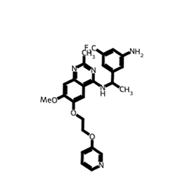 COc1cc2nc(C)nc(NC(C)c3cc(N)cc(C(F)(F)F)c3)c2cc1OCCOc1cccnc1